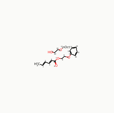 CC=CC=CC(=O)OCCOc1ccccc1.CCCCCCCCOCCO